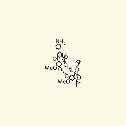 C=CN(C)C(=O)c1cc(OC)c(OCCCOc2cc3c(cc2OC)C(=O)N2C=C(c4ccc(N)cc4)C[C@H]2C(=O)N3COCC[Si](C)(C)C)cc1N(C)COCC[Si](C)(C)C